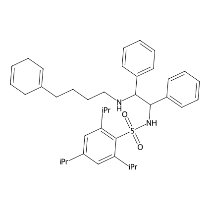 CC(C)c1cc(C(C)C)c(S(=O)(=O)NC(c2ccccc2)C(NCCCCC2=CCC=CC2)c2ccccc2)c(C(C)C)c1